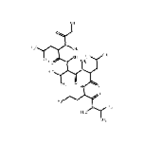 CCCC(NC(=O)C(CC(C)C)N(C)C(=O)C(C(C)C)N(C)C(=O)C(CC(C)C)N(C)C(=O)CC)C(=O)N(C)C(C)C